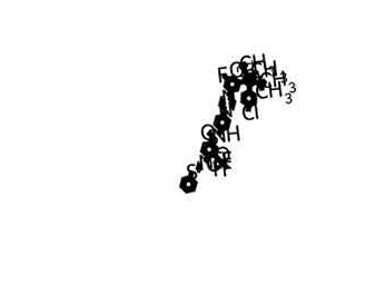 Cc1c([S+](C)[O-])c(-c2cc(F)cc(N3CCN(c4ccc(N[S+]([O-])c5ccc(NCCSc6ccccc6)c(S(=O)(=O)C(F)(F)F)c5)cc4)CC3)c2)c(-c2ccc(Cl)cc2)n1C(C)C